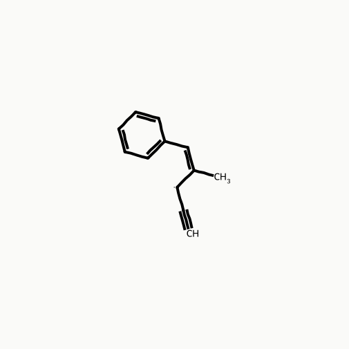 C#C[CH]C(C)=Cc1ccccc1